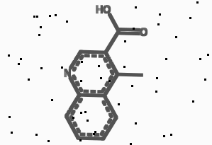 Cc1c(C(=O)O)cnc2ccccc12